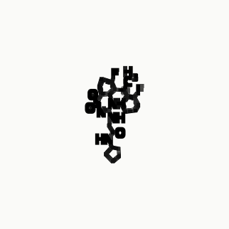 C[C@@H](c1ccccc1F)c1c(F)ccc2c1NC(NCC(=O)NC1CCCC1)=NS2(=O)=O